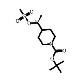 C[C@H](OS(C)(=O)=O)C1CCN(C(=O)OC(C)(C)C)CC1